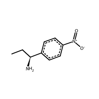 CC[C@H](N)c1ccc([N+](=O)[O-])cc1